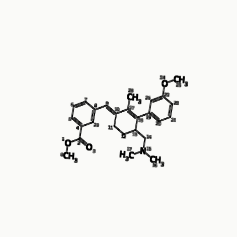 COC(=O)c1cccc(/C=C2\CCC(CN(C)C)C(c3cccc(OC)c3)=C2C)c1